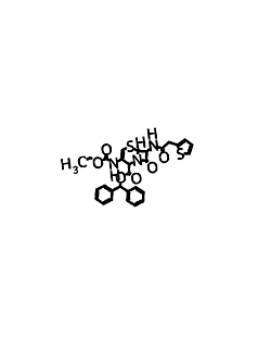 CCOC(=O)NC1=CS[C@@H]2C(NC(=O)Cc3cccs3)C(=O)N2C1C(=O)OC(c1ccccc1)c1ccccc1